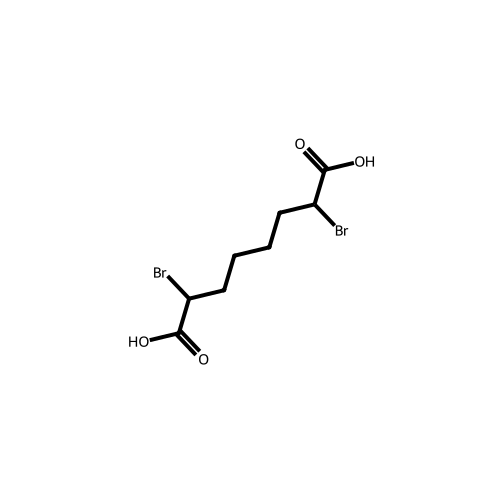 O=C(O)C(Br)CCCCC(Br)C(=O)O